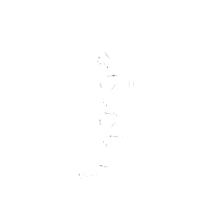 COC(=O)CCNC(=O)c1ccc(N(Cc2ccc(-n3cc(C(F)(F)F)cn3)cc2C)C2CCCCC2)nc1